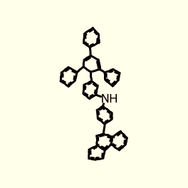 C1=C(c2ccccc2)C=C(c2ccccc2)C(c2cccc(Nc3ccc(-c4cc5ccccc5c5ccccc45)cc3)c2)C1c1ccccc1